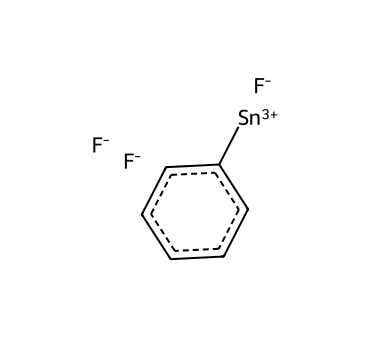 [F-].[F-].[F-].[Sn+3][c]1ccccc1